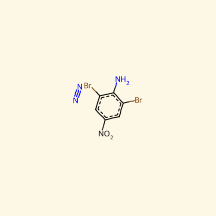 N#N.Nc1c(Br)cc([N+](=O)[O-])cc1Br